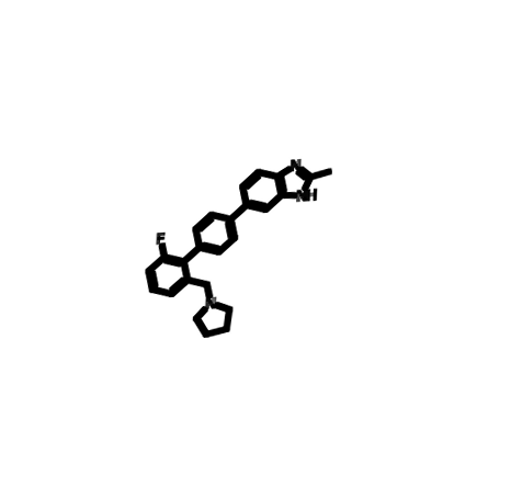 Cc1nc2ccc(-c3ccc(-c4c(F)cccc4CN4CCCC4)cc3)cc2[nH]1